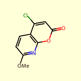 COc1ccc2c(Cl)cc(=O)oc2n1